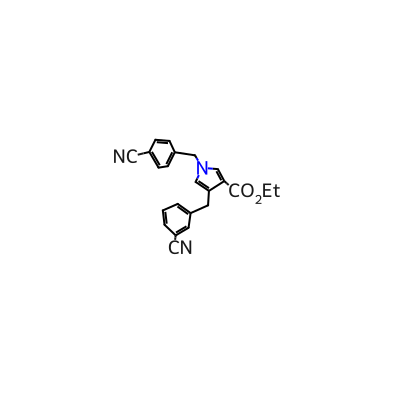 CCOC(=O)c1cn(Cc2ccc(C#N)cc2)cc1Cc1cccc(C#N)c1